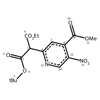 CCOC(=O)C(C(=O)OC(C)(C)C)c1cc(C(=O)OC)c([N+](=O)[O-])cn1